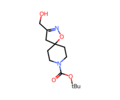 CC(C)(C)OC(=O)N1CCC2(CC1)CC(CO)=NO2